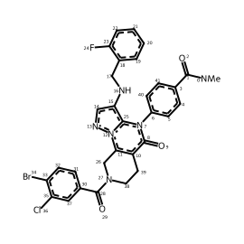 CNC(=O)c1ccc(-n2c(=O)c3c(n4ncc(NCc5ccccc5F)c24)CN(C(=O)c2ccc(Br)c(Cl)c2)CC3)cc1